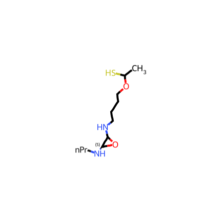 CCCN[C@H]1OC1NCCCCOC(C)S